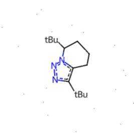 CC(C)(C)c1nnn2c1CCCC2C(C)(C)C